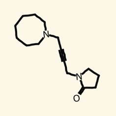 O=C1CCCN1CC#CCN1CCCCCCC1